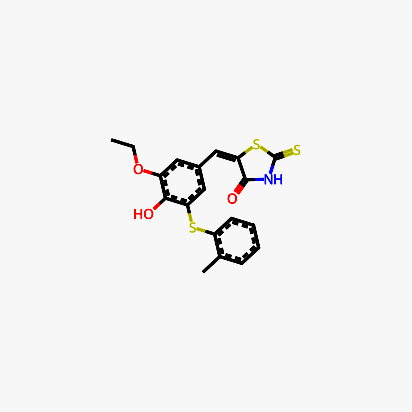 CCOc1cc(C=C2SC(=S)NC2=O)cc(Sc2ccccc2C)c1O